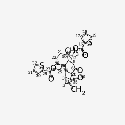 C=C1C=C2C[C@@]3(C(=O)CC4[C@](C)(COC(=O)c5cccs5)CCC[C@@]4(COC(=O)c4cccs4)C23)C1=O